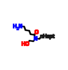 CCCCCCCCN(CCO)C(=O)CCCCN